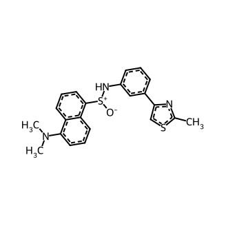 Cc1nc(-c2cccc(N[S+]([O-])c3cccc4c(N(C)C)cccc34)c2)cs1